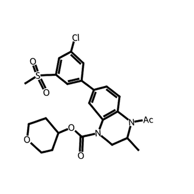 CC(=O)N1c2ccc(-c3cc(Cl)cc(S(C)(=O)=O)c3)cc2N(C(=O)OC2CCOCC2)CC1C